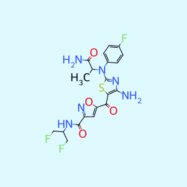 CC(C(N)=O)N(c1ccc(F)cc1)c1nc(N)c(C(=O)c2cc(C(=O)NC(CF)CF)no2)s1